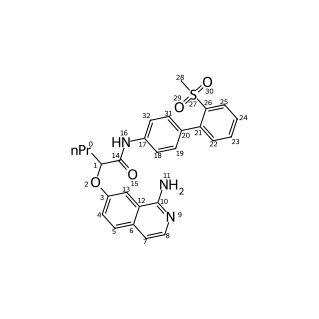 CCCC(Oc1ccc2ccnc(N)c2c1)C(=O)Nc1ccc(-c2ccccc2S(C)(=O)=O)cc1